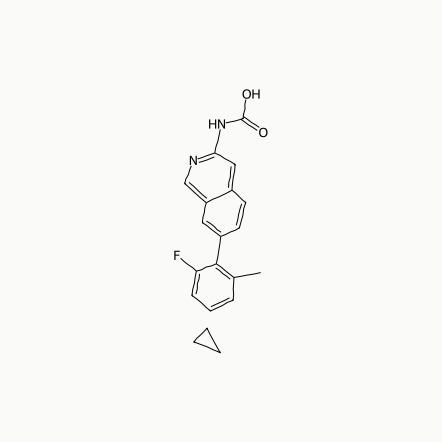 C1CC1.Cc1cccc(F)c1-c1ccc2cc(NC(=O)O)ncc2c1